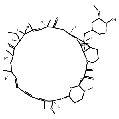 CO[C@@H]1C(=O)[C@H](C)C[C@H](C)/C=C/C=C/C=C(\C)[C@H](OC)C[C@@H]2CC[C@@H](C)[C@@](O)(O2)C(=O)C(=O)N2CCCC3[C@H]2C(=O)O[C@@H](CC(=O)[C@H](C)/C=C(\C)[C@H]1O)[C@H]3C[C@@H]1CC[C@H](O)[C@H](OC)C1